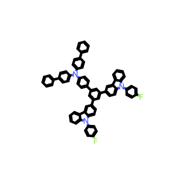 Fc1ccc(-n2c3ccccc3c3cc(-c4cc(-c5ccc(N(c6ccc(-c7ccccc7)cc6)c6ccc(-c7ccccc7)cc6)cc5)cc(-c5ccc6c(c5)c5ccccc5n6-c5ccc(F)cc5)c4)ccc32)cc1